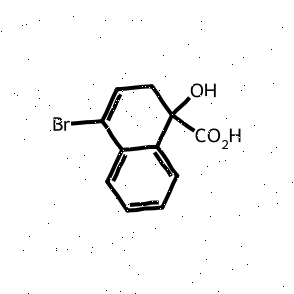 O=C(O)C1(O)CC=C(Br)c2ccccc21